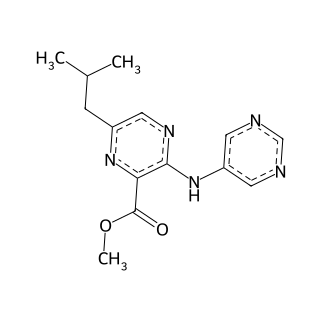 COC(=O)c1nc(CC(C)C)cnc1Nc1cncnc1